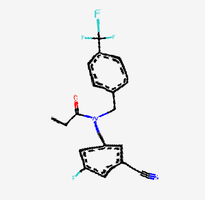 CCC(=O)N(Cc1ccc(C(F)(F)F)cc1)c1cc(F)cc(C#N)c1